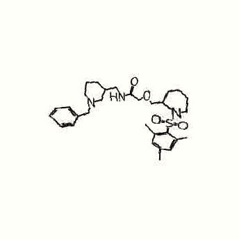 Cc1cc(C)c(S(=O)(=O)N2CCCCC2COCC(=O)NCC2CCCN(Cc3ccccc3)C2)c(C)c1